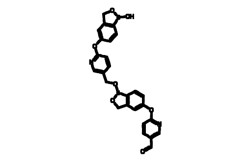 O=Cc1ccc(Oc2ccc3c(c2)COB3OCc2ccc(Oc3ccc4c(c3)COB4O)nc2)nc1